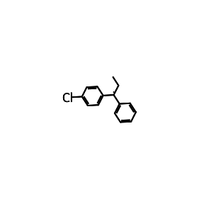 CC[C](c1ccccc1)c1ccc(Cl)cc1